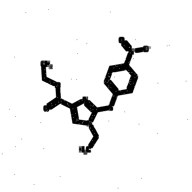 CCOC(=O)c1cn(CC)c(Sc2ccc([N+](=O)[O-])cc2)n1